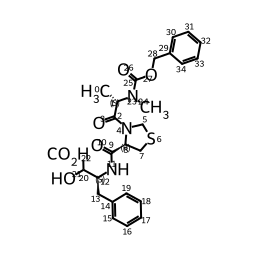 C[C@@H](C(=O)N1CSC[C@H]1C(=O)N[C@@H](Cc1ccccc1)C(O)C(=O)O)N(C)C(=O)OCc1ccccc1